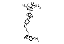 Cc1ccc2[nH]cc(CCCCN3CCN(c4ncc(-c5nc(C)c(C(N)=O)o5)cn4)CC3)c2c1